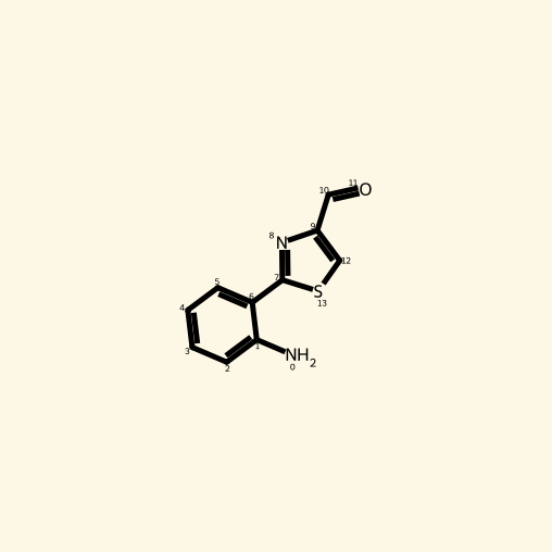 Nc1ccccc1-c1nc(C=O)cs1